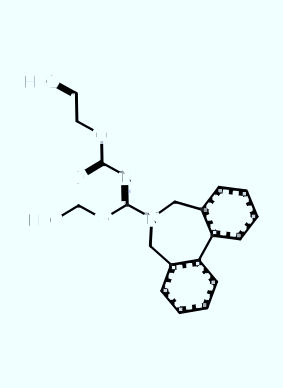 C=CCOC(=O)/N=C(\OCC)N1Cc2ccccc2-c2ccccc2C1